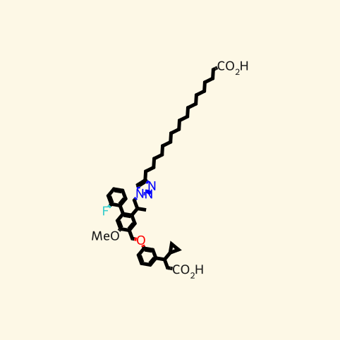 COc1cc(-c2ccccc2F)c(C(C)Cn2cc(CCCCCCCCCCCCCCCCCC(=O)O)nn2)cc1COc1cccc(C(CC(=O)O)C2CC2)c1